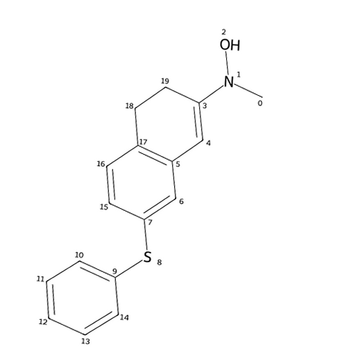 CN(O)C1=Cc2cc(Sc3ccccc3)ccc2CC1